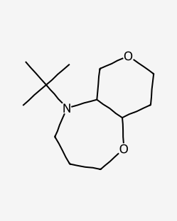 CC(C)(C)N1CCCOC2CCOCC21